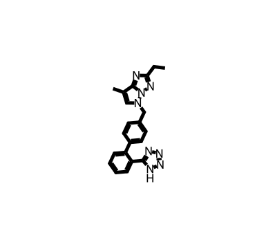 CCc1nc2c(C)cn(Cc3ccc(-c4ccccc4-c4nnn[nH]4)cc3)n2n1